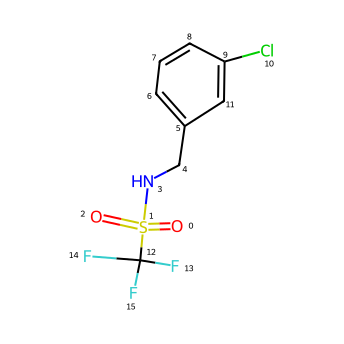 O=S(=O)(NCc1cccc(Cl)c1)C(F)(F)F